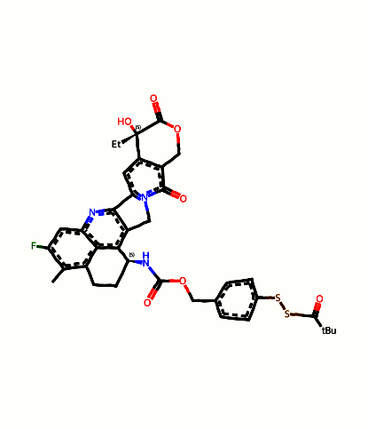 CC[C@@]1(O)C(=O)OCc2c1cc1n(c2=O)Cc2c-1nc1cc(F)c(C)c3c1c2[C@@H](NC(=O)OCc1ccc(SSC(=O)C(C)(C)C)cc1)CC3